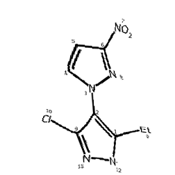 CCC1=C(n2ccc([N+](=O)[O-])n2)C(Cl)=N[N]1